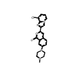 CN1CCN(c2ccc3cc(-c4cn5cccc(Cl)c5n4)oc(=O)c3c2)CC1